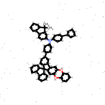 CC1(C)c2ccccc2-c2ccc(N(c3ccc(-c4ccccc4)cc3)c3ccc(-c4ccc5c(c4)-c4cc6c(cc4C54c5ccccc5-c5ccccc54)Oc4ccccc4O6)cc3)cc21